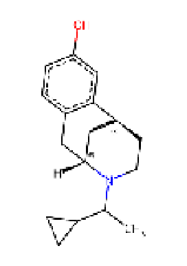 CC(C1CC1)N1CC[C@]23CCCCC2[C@H]1Cc1ccc(O)cc13